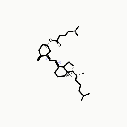 C=C1CC[C@H](OC(=O)CCCN(C)C)C/C1=C\C=C1/CCC[C@@]2(C)C1CC[C@@H]2[C@H](C)CCCC(C)C